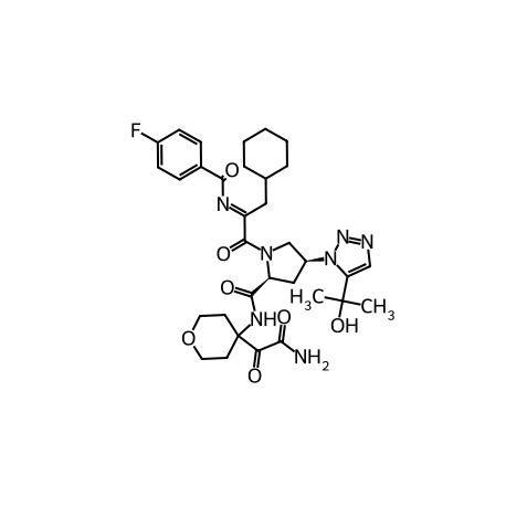 CC(C)(O)c1cnnn1[C@H]1C[C@@H](C(=O)NC2(C(=O)C(N)=O)CCOCC2)N(C(=O)/C(CC2CCCCC2)=N/C(=O)c2ccc(F)cc2)C1